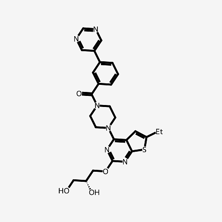 CCc1cc2c(N3CCN(C(=O)c4cccc(-c5cncnc5)c4)CC3)nc(OC[C@H](O)CO)nc2s1